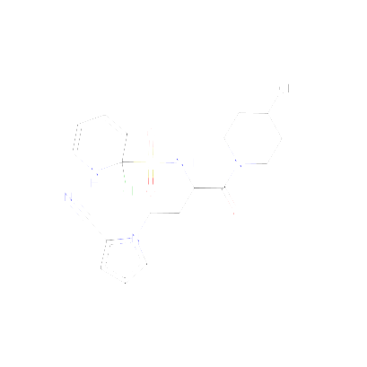 CC1CCN(C(=O)C(CCn2cccc2C#N)NS(=O)(=O)C2(Cl)C=CC=CN2)CC1